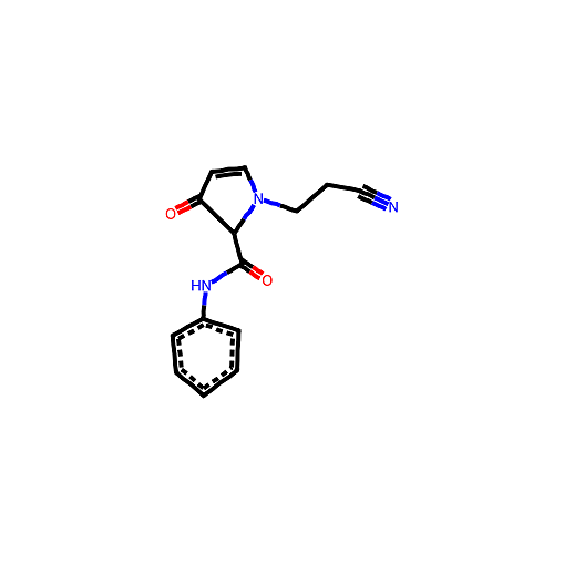 N#CCCN1C=CC(=O)C1C(=O)Nc1ccccc1